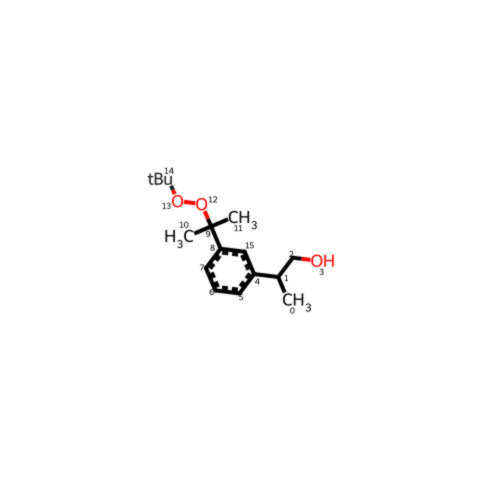 CC(CO)c1cccc(C(C)(C)OOC(C)(C)C)c1